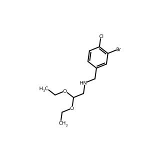 CCOC(CNCc1ccc(Cl)c(Br)c1)OCC